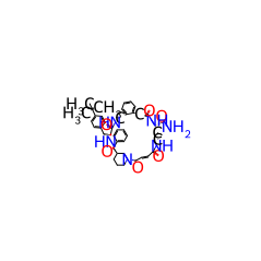 CC(C)(C)c1ccc(C[C@@H]2NC(=O)[C@]3(Cc4ccccc4)CCCN(C3)C(=O)/C=C/C(=O)NCC[C@@H](C(N)=O)NC(=O)Cc3ccccc3CNC2=O)cc1